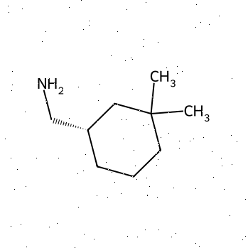 CC1(C)CCC[C@H](CN)C1